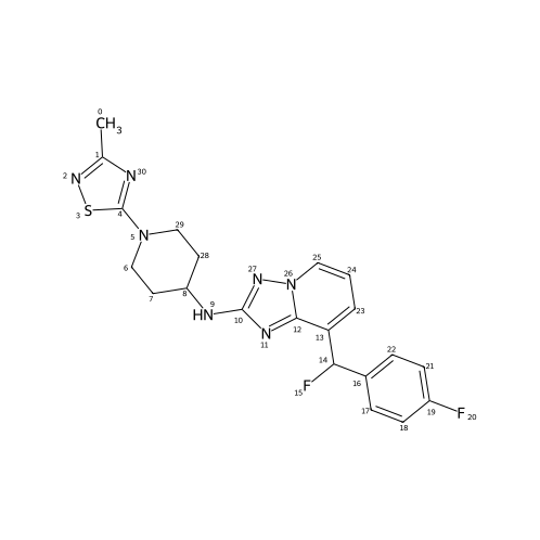 Cc1nsc(N2CCC(Nc3nc4c(C(F)c5ccc(F)cc5)cccn4n3)CC2)n1